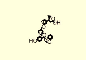 O=C(O)CC(c1ccnc(OCC2CCN(c3cc(O)ccc3C(=O)N3CCOc4ccccc43)CC2)c1)C1CC1